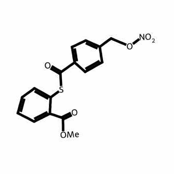 COC(=O)c1ccccc1SC(=O)c1ccc(CO[N+](=O)[O-])cc1